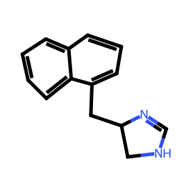 C1=NC(Cc2cccc3ccccc23)CN1